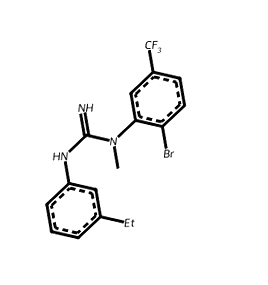 CCc1cccc(NC(=N)N(C)c2cc(C(F)(F)F)ccc2Br)c1